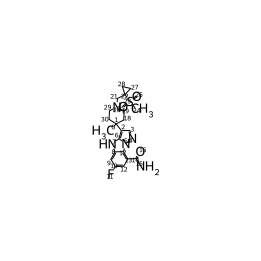 CC1(c2cnn3c2[nH]c2cc(F)cc(C(N)=O)c23)CCN(CC2(S(C)(=O)=O)CC2)CC1